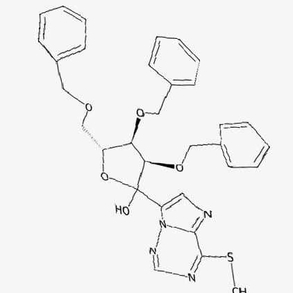 CSc1ncnn2c(C3(O)O[C@H](COCc4ccccc4)[C@@H](OCc4ccccc4)[C@H]3OCc3ccccc3)cnc12